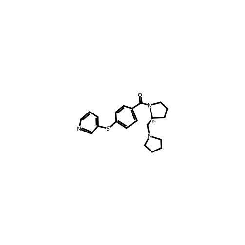 O=C(c1ccc(Sc2cccnc2)cc1)N1CCC[C@H]1CN1CCCC1